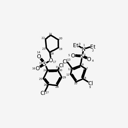 CCN(CC)S(=O)(=O)c1cc(Cl)ccc1Cl.O=S(=O)(OC1CCCCC1)c1cc(Cl)ccc1Cl